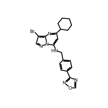 Brc1cnn2c(NCc3ccc(-c4ncon4)cc3)cc(C3CCCCC3)nc12